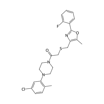 Cc1ccc(Cl)cc1N1CCN(C(=O)CSCc2nc(-c3ccccc3F)oc2C)CC1